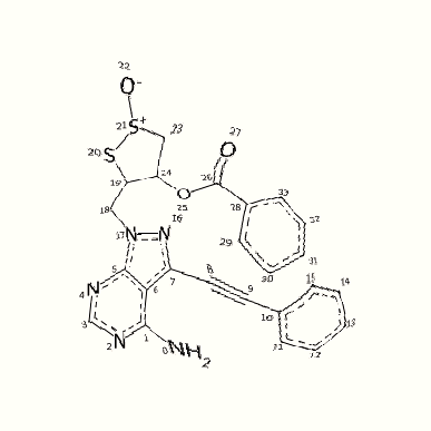 Nc1ncnc2c1c(C#Cc1ccccc1)nn2CC1S[S+]([O-])CC1OC(=O)c1ccccc1